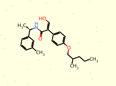 CCCC(C)COc1ccc(C(=CO)C(=O)N[C@H](C)c2cccc(C)c2)cc1